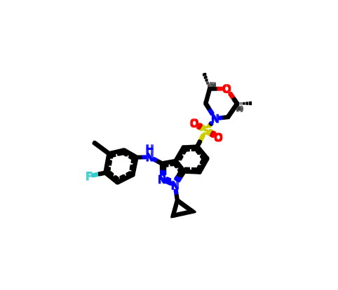 Cc1cc(Nc2nn(C3CC3)c3ccc(S(=O)(=O)N4C[C@@H](C)O[C@@H](C)C4)cc23)ccc1F